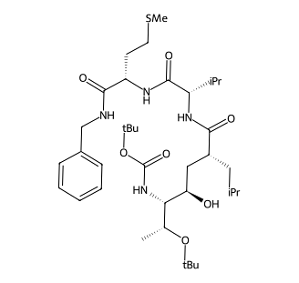 CSCC[C@H](NC(=O)[C@@H](NC(=O)[C@H](CC(C)C)C[C@@H](O)[C@@H](NC(=O)OC(C)(C)C)[C@@H](C)OC(C)(C)C)C(C)C)C(=O)NCc1ccccc1